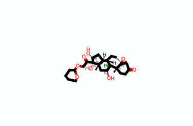 C[C@]12C[C@H](O)C3(F)[C@@H](CC[C@]45OC4C(=O)CC[C@]35C)[C@@H]1C[C@@H](O)[C@]2(O)C(=O)COC1CCCCO1